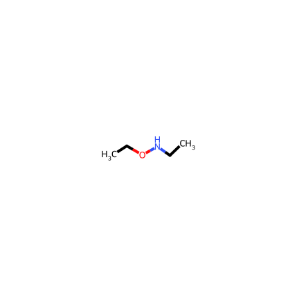 CCNOCC